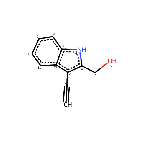 C#Cc1c(CO)[nH]c2ccccc12